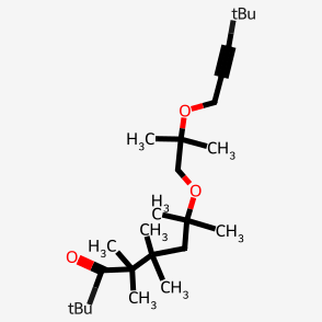 CC(C)(C)C#CCOC(C)(C)COC(C)(C)CC(C)(C)C(C)(C)C(=O)C(C)(C)C